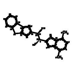 Cc1ncc(C)n2nc([C@H](F)[C@H](F)c3cn4c(n3)-c3ccccc3C4)nc12